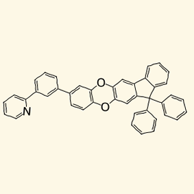 c1ccc(C2(c3ccccc3)c3ccccc3-c3cc4c(cc32)Oc2ccc(-c3cccc(-c5ccccn5)c3)cc2O4)cc1